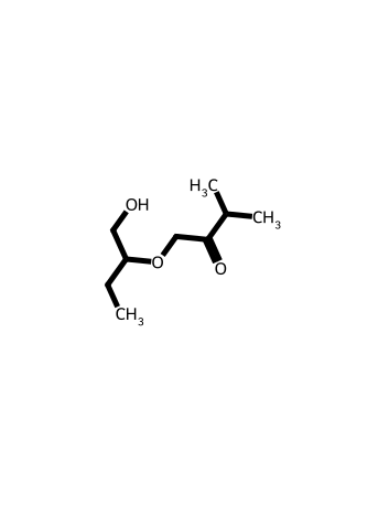 CCC(CO)OCC(=O)C(C)C